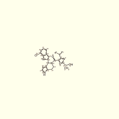 C[C@@H](O)c1nc(C(F)F)c(C(=O)N2CCc3[nH]cnc3C2c2cc3cccc(Cl)n3n2)o1